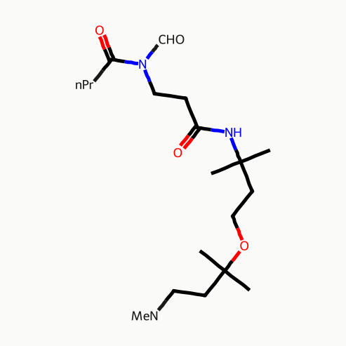 CCCC(=O)N(C=O)CCC(=O)NC(C)(C)CCOC(C)(C)CCNC